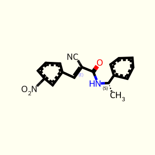 C[C@H](NC(=O)/C(C#N)=C/c1cccc([N+](=O)[O-])c1)c1ccccc1